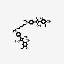 CCc1cc(C2C(O)C(c3ccc(N(CC)CCCCCCN(CC)c4ccc(C5C(O)C(c6cc(CC)c(O)cc6O)C5O)cc4)cc3)C2O)c(O)cc1O